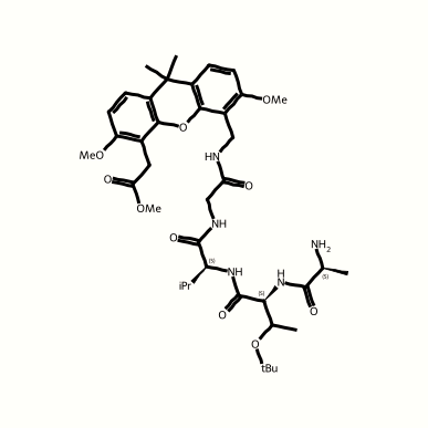 COC(=O)Cc1c(OC)ccc2c1Oc1c(ccc(OC)c1CNC(=O)CNC(=O)[C@@H](NC(=O)[C@@H](NC(=O)[C@H](C)N)C(C)OC(C)(C)C)C(C)C)C2(C)C